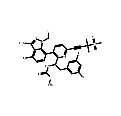 CC(C)(C)OC(=O)NC(Cc1cc(F)cc(F)c1)c1nc(C#CC(C)(C)S(C)(=O)=O)ccc1-c1ccc(Cl)c2c(N)nn(CC(F)(F)F)c12